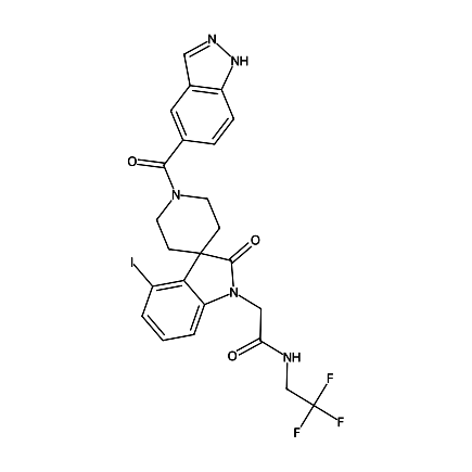 O=C(CN1C(=O)C2(CCN(C(=O)c3ccc4[nH]ncc4c3)CC2)c2c(I)cccc21)NCC(F)(F)F